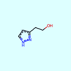 OCCc1[c]c[nH]n1